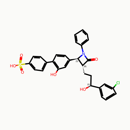 O=C1[C@H](CC[C@H](O)c2cccc(Cl)c2)[C@@H](c2ccc(-c3ccc(S(=O)(=O)O)cc3)c(O)c2)N1c1ccccc1